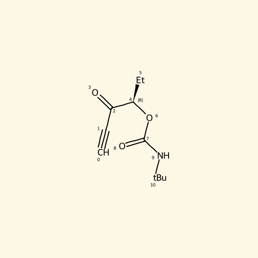 C#CC(=O)[C@@H](CC)OC(=O)NC(C)(C)C